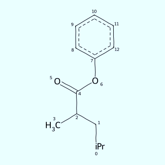 CC(C)CC(C)C(=O)Oc1ccccc1